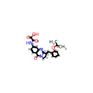 CC(C)Oc1ccccc1C=C1CCn2c1nc1cc(NC(=O)C(=O)O)ccc1c2=O